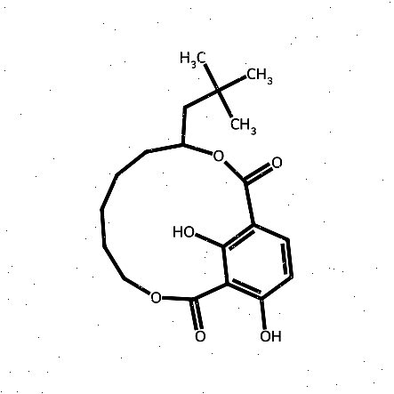 CC(C)(C)CC1CCCCCOC(=O)c2c(O)ccc(c2O)C(=O)O1